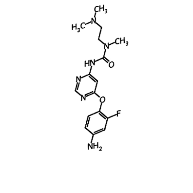 CN(C)CCN(C)C(=O)Nc1cc(Oc2ccc(N)cc2F)ncn1